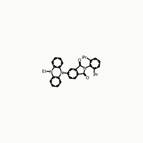 CCN1c2ccccc2N(c2ccc3c(c2)C(=O)N(c2c(C(C)C)cccc2C(C)C)C3=O)c2ccccc21